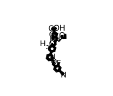 CC1(Cc2nc3oc(C(=O)O)cc3n2C[C@@H]2CCO2)CCC(c2cccc(OCc3ccc(C#N)cc3F)n2)CC1